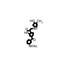 CC(=O)Nc1cccc(C(=O)c2ccc3c(c2)NC(=O)/C3=C/Nc2ccc(C)c(O)c2)c1